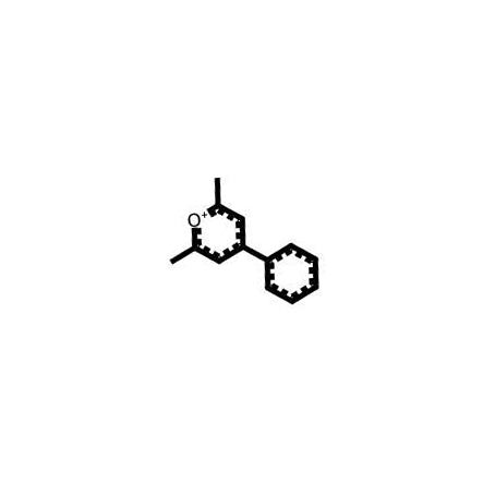 Cc1cc(-c2ccccc2)cc(C)[o+]1